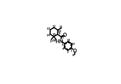 COc1ccc(NC(=O)C2C(C)CCCC2(C)C)cc1